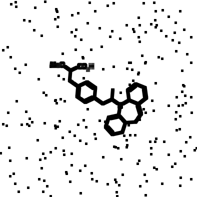 COC(Cc1ccc(CC(C)N2C3=CC=CCC3CC=C3C=CC=CC32)cc1)C(=O)O